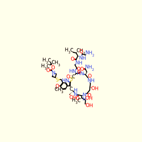 CC[C@H](C)[C@H](NC(=O)CN)C(=O)NCC(=O)N[C@H]1C[S+]([O-])c2[nH]c3c(CSC4CN(C(=O)OC(C)(C)C)C4)c(OC)ccc3c2C[C@@H](CO)NC(=O)[C@H]([C@@H](C)[C@@H](O)CO)NC(=O)C[C@@H](O)CNC(=O)[C@H](CC(N)=O)NC1=O